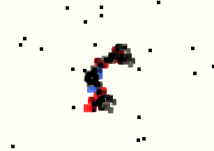 C=C(C(=O)O)C(C)OC(=O)NCC1CCCC(CNC(=O)OCCC[Si](OC)(OC)OC)C1